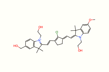 COc1ccc2c(c1)C(C)(C)/C(=C\C=C1/CCC(/C=C/C3=[N+](CCO)c4ccc(CO)cc4C3(C)C)=C1Cl)N2CCO